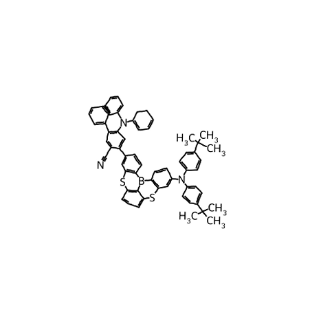 CC(C)(C)c1ccc(N(c2ccc(C(C)(C)C)cc2)c2ccc3c(c2)Sc2cccc4c2B3c2ccc(-c3cc(N(C5=CC=CCC5)c5ccccc5)c(-c5c#cccc5)cc3C#N)cc2S4)cc1